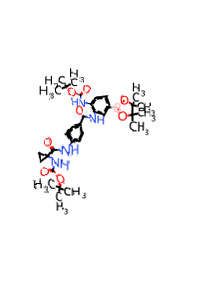 CC(C)(C)OC(=O)Nc1ccc(B2OC(C)(C)C(C)(C)O2)cc1NC(=O)c1ccc(NC(=O)C2(NC(=O)OC(C)(C)C)CC2)cc1